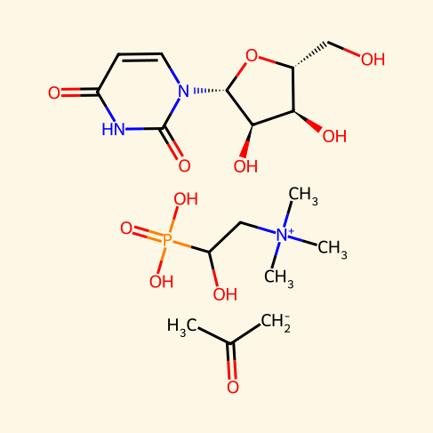 C[N+](C)(C)CC(O)P(=O)(O)O.O=c1ccn([C@@H]2O[C@H](CO)[C@@H](O)[C@H]2O)c(=O)[nH]1.[CH2-]C(C)=O